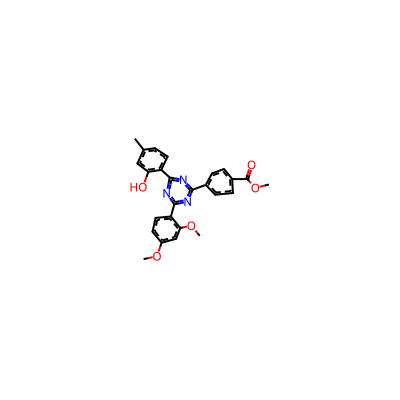 COC(=O)c1ccc(-c2nc(-c3ccc(C)cc3O)nc(-c3ccc(OC)cc3OC)n2)cc1